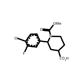 COC(=O)N1CCC(C(=O)O)CC1c1ccc(Cl)c(F)c1